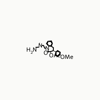 COc1ccc([C@@H]2Cc3ccccc3N(CCN(C)CCN)C(=O)[C@@H]2OC(C)=O)cc1